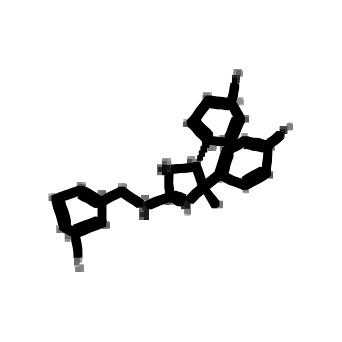 C[C@@]1(c2ccc(F)cc2)N=C(NCc2cccc(F)c2)N[C@@H]1c1ccc(F)cc1